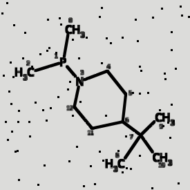 CP(C)N1CCC(C(C)(C)C)CC1